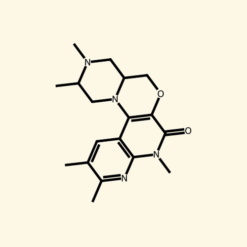 Cc1cc2c3c(c(=O)n(C)c2nc1C)OCC1CN(C)C(C)CN31